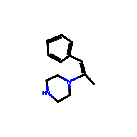 CC(=Cc1ccccc1)N1CCNCC1